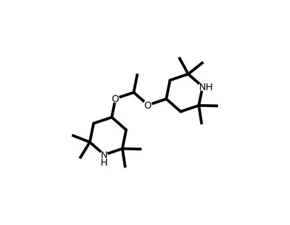 CC(OC1CC(C)(C)NC(C)(C)C1)OC1CC(C)(C)NC(C)(C)C1